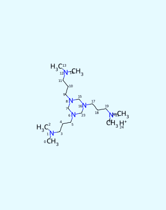 CN(C)CCCN1CN(CCCN(C)C)CN(CCCN(C)C)C1.[H+]